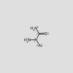 CC(=O)N(N)C(N)=O